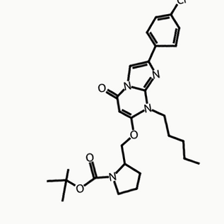 CCCCCn1c(OCC2CCCN2C(=O)OC(C)(C)C)cc(=O)n2cc(-c3ccc(Cl)cc3)nc12